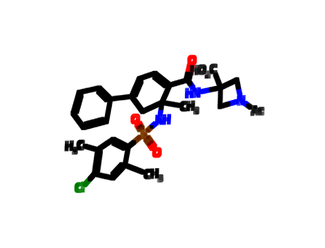 CC(=O)N1CC(NC(=O)C2=CC=C(c3ccccc3)CC2(C)NS(=O)(=O)c2cc(C)c(Cl)cc2C)(C(=O)O)C1